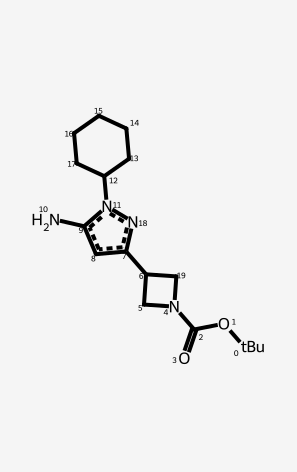 CC(C)(C)OC(=O)N1CC(c2cc(N)n(C3CCCCC3)n2)C1